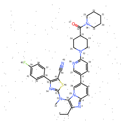 CCc1nc2ccc(-c3ccc(N4CCC(C(=O)N5CCCCC5)CC4)nc3)cn2c1N(C)c1nc(-c2ccc(F)cc2)c(C#N)s1